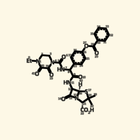 CCN1CCN(C(=O)NC(C(=O)NC2C(=O)N3[C@@H]2SC(C)(C)[C@@H]3C(=O)O)c2ccc(OC(=O)c3ccccc3)cc2)C(=O)C1=O